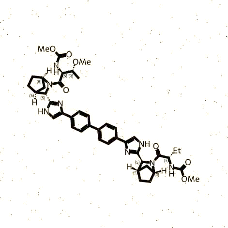 CC[C@H](NC(=O)OC)C(=O)N1[C@@H]2CC[C@@H](C2)[C@H]1c1nc(-c2ccc(-c3ccc(-c4c[nH]c([C@@H]5[C@H]6CC[C@H](C6)N5C(=O)[C@@H](NC(=O)OC)[C@@H](C)OC)n4)cc3)cc2)c[nH]1